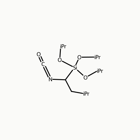 CC(C)CC(N=C=O)[Si](OC(C)C)(OC(C)C)OC(C)C